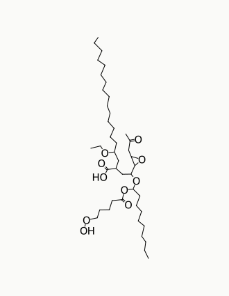 CCCCCCCCCCCCCCCC(CC(CC(OC(CCCCCCCCC)OC(=O)CCCCOO)C1OC1CC(C)=O)C(=O)O)OCC